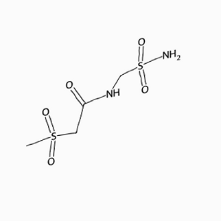 CS(=O)(=O)CC(=O)NCS(N)(=O)=O